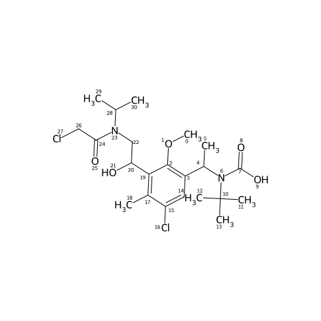 COc1c(C(C)N(C(=O)O)C(C)(C)C)cc(Cl)c(C)c1C(O)CN(C(=O)CCl)C(C)C